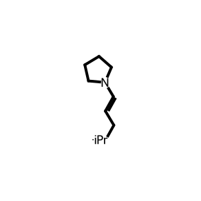 C[C](C)CC=CN1CCCC1